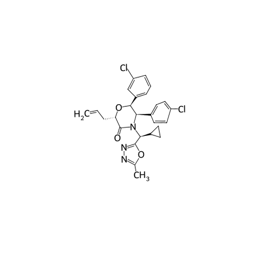 C=CC[C@@H]1O[C@@H](c2cccc(Cl)c2)[C@@H](c2ccc(Cl)cc2)N([C@H](c2nnc(C)o2)C2CC2)C1=O